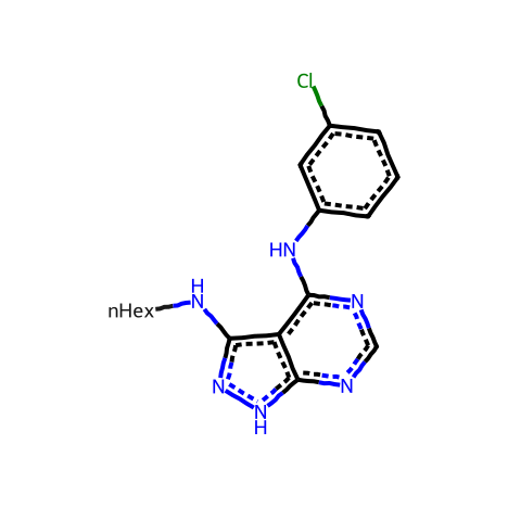 CCCCCCNc1n[nH]c2ncnc(Nc3cccc(Cl)c3)c12